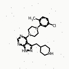 Cc1ccc(Cl)cc1N1CCN(c2ncnc3[nH]nc(CC4CCNCC4)c23)CC1